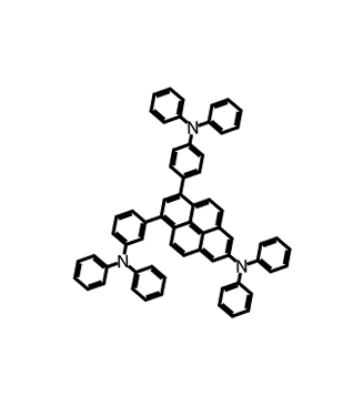 c1ccc(N(c2ccccc2)c2ccc(-c3cc(-c4cccc(N(c5ccccc5)c5ccccc5)c4)c4ccc5cc(N(c6ccccc6)c6ccccc6)cc6ccc3c4c65)cc2)cc1